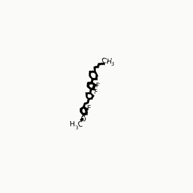 CCCCCC1CCC(c2ccc(C3CCC(CCc4ccc(OCC)cc4F)CC3)c(F)c2F)CC1